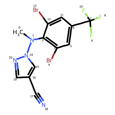 CN(c1c(Br)cc(C(F)(F)F)cc1Br)n1cc(C#N)cn1